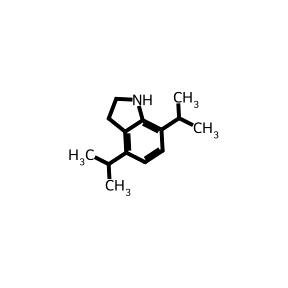 CC(C)c1ccc(C(C)C)c2c1CCN2